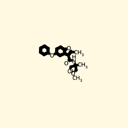 COCC(C)(CO)NC(=O)c1c(C)oc2ccc(Oc3ccccc3)cc12